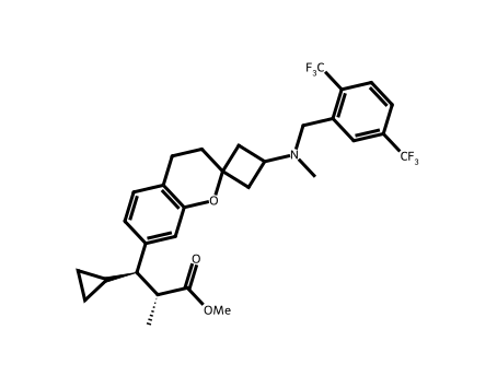 COC(=O)[C@H](C)[C@H](c1ccc2c(c1)OC1(CC2)CC(N(C)Cc2cc(C(F)(F)F)ccc2C(F)(F)F)C1)C1CC1